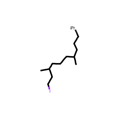 CC(C)CCCC(C)CCCC(C)CCI